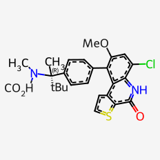 COc1cc(Cl)c2[nH]c(=O)c3sccc3c2c1-c1ccc([C@](C)(N(C)C(=O)O)C(C)(C)C)cc1